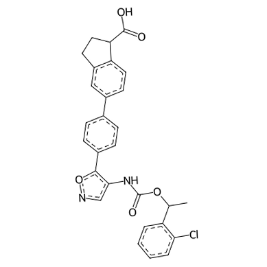 CC(OC(=O)Nc1cnoc1-c1ccc(-c2ccc3c(c2)CCC3C(=O)O)cc1)c1ccccc1Cl